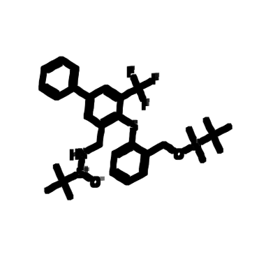 CC(C)(C)[S+]([O-])NCc1cc(-c2ccccc2)cc(C(F)(F)F)c1Sc1ccccc1CO[Si](C)(C)C(C)(C)C